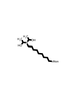 CCCCCCCCCCCCCCCCC=CN(C(C)O)C(C)O